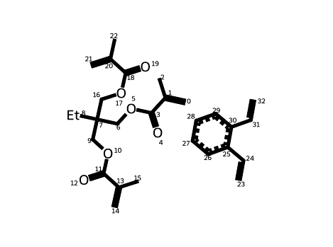 C=C(C)C(=O)OCC(CC)(COC(=O)C(=C)C)COC(=O)C(=C)C.C=Cc1ccccc1C=C